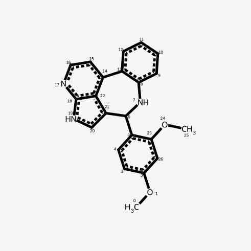 COc1ccc(C2Nc3ccccc3-c3ccnc4[nH]cc2c34)c(OC)c1